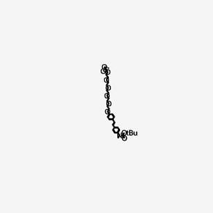 CN(C(=O)OC(C)(C)C)c1ccc(C=Cc2ccc(OCCOCCOCCOCCOCCOS(C)(=O)=O)cc2)cc1